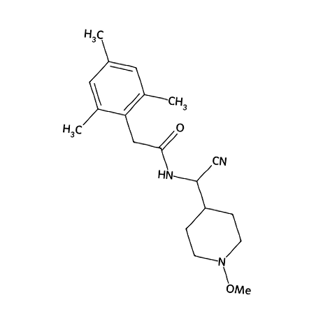 CON1CCC(C(C#N)NC(=O)Cc2c(C)cc(C)cc2C)CC1